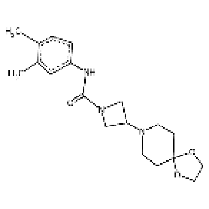 Cc1ccc(NC(=O)N2CC(N3CCC4(CC3)OCCO4)C2)cc1C